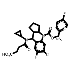 C[C@H](OC(=O)N1c2cc(Cl)c(F)cc2C(N(C(=O)CCC(=O)O)C2CC2)C2CCCC21)c1ccc(F)cc1